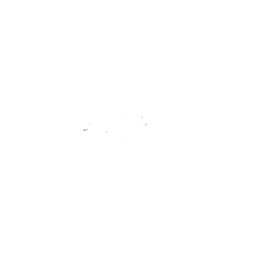 CCCOC12CC[C@H](O)[C@@H]3Oc4c(O)ccc5c4[C@@]31CC[N@+]([O-])(CC1CC1)[C@@H]2C5